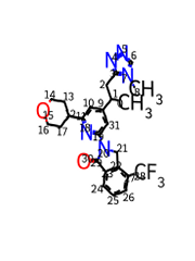 CC(Cc1nncn1C)c1cc(C2CCOCC2)nc(N2Cc3c(cccc3C(F)(F)F)C2=O)c1